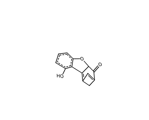 O=C1C2=CC(=C3c4c(O)cccc4OC13)C2